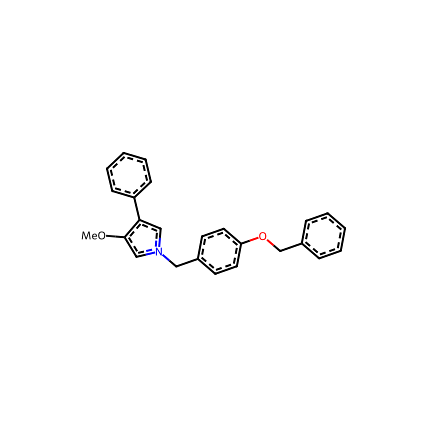 COc1cn(Cc2ccc(OCc3ccccc3)cc2)cc1-c1ccccc1